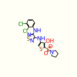 O=S(=O)(c1scc(Nc2nsnc2Nc2cccc(Cl)c2Cl)c1O)N1CCCC1